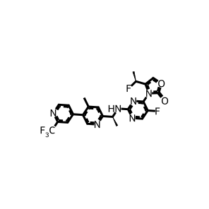 Cc1cc([C@H](C)Nc2ncc(F)c(-n3c([C@H](C)F)coc3=O)n2)ncc1-c1ccnc(C(F)(F)F)c1